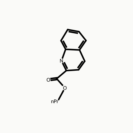 CCCOC(=O)c1ccc2ccccc2n1